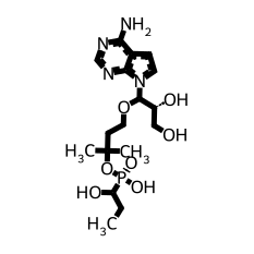 CCC(O)P(=O)(O)OC(C)(C)CCOC([C@H](O)CO)n1ccc2c(N)ncnc21